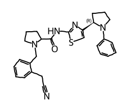 N#CCc1ccccc1CN1CCCC1C(=O)Nc1nc([C@H]2CCCN2c2ccccc2)cs1